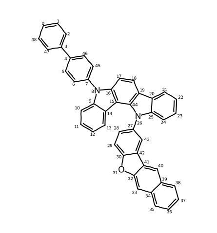 c1ccc(-c2ccc(-n3c4ccccc4c4c3ccc3c5ccccc5n(-c5ccc6oc7cc8ccccc8cc7c6c5)c34)cc2)cc1